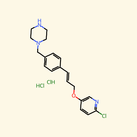 Cl.Cl.Clc1ccc(OCC=Cc2ccc(CN3CCNCC3)cc2)cn1